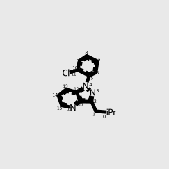 CC(C)Cc1nn(-c2ccccc2Cl)c2cccnc12